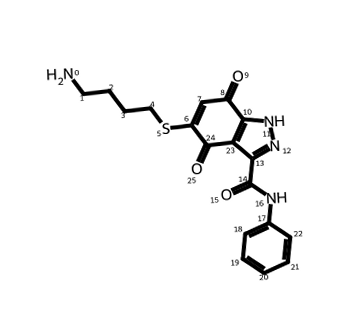 NCCCCSC1=CC(=O)c2[nH]nc(C(=O)Nc3ccccc3)c2C1=O